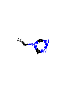 CC(=O)Cn1[c]nnc1